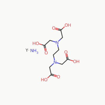 N.O=C(O)CN(CCN(CC(=O)O)CC(=O)O)CC(=O)O.[Y]